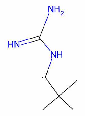 CC(C)(C)[CH]NC(=N)N